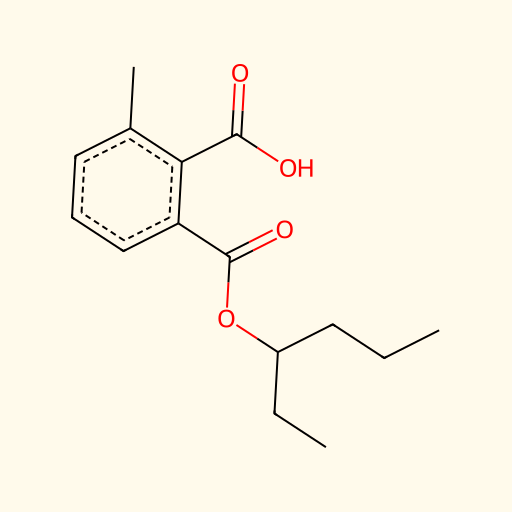 CCCC(CC)OC(=O)c1cccc(C)c1C(=O)O